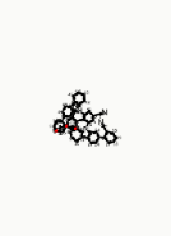 N#Cc1cc(-n2c3ccccc3c3ccc(-c4ccccc4C#N)cc32)c(-c2ccc(C(F)(F)F)cc2C#N)c(-n2c3ccccc3c3ccc(-c4ccccc4C#N)cc32)c1